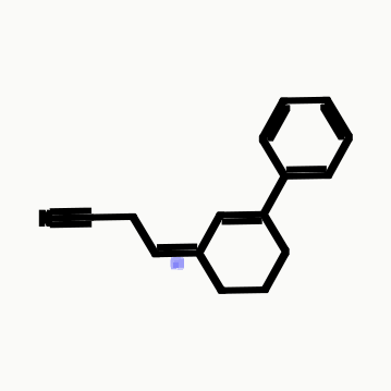 N#CC/C=C1\C=C(c2ccccc2)CCC1